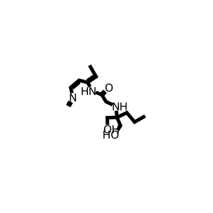 C=N/C=C\C(=C/C)NC(=O)CNC(CO)(CO)CCC